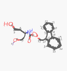 O=C(NC(CCO)COI)OCC1c2ccccc2-c2ccccc21